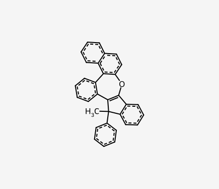 CC1(c2ccccc2)C2=C(Oc3ccc4ccccc4c3-c3ccccc32)c2ccccc21